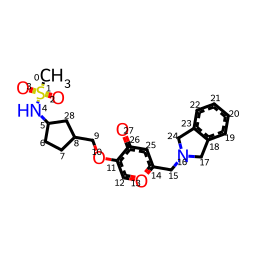 CS(=O)(=O)NC1CCC(COc2coc(CN3Cc4ccccc4C3)cc2=O)C1